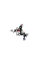 CCOC(=O)C(C)(C)NP(=O)(OC[C@H]1O[C@@H](n2cc(/C=C/Br)c(=O)[nH]c2=O)CC1O)Oc1ccc(Cl)cc1